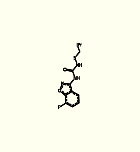 CC(C)CSNC(=O)Nc1noc2c(F)cccc12